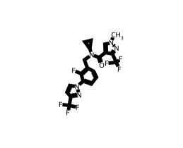 Cn1cc(C(=O)N(Cc2cccc(-n3ccc(C(F)(F)F)n3)c2F)C2CC2)c(C(F)(F)F)n1